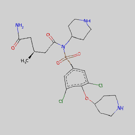 C[C@@H](CC(N)=O)CC(=O)N(C1CCNCC1)S(=O)(=O)c1cc(Cl)c(OC2CCNCC2)c(Cl)c1